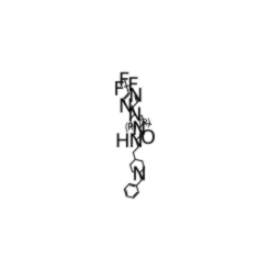 C[C@@H]1CN(c2cnc(C(F)(F)F)cn2)C[C@@H](C)N1C(=O)NCCC1CCN(Cc2ccccc2)CC1